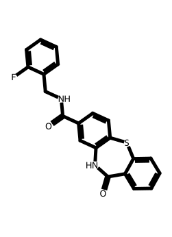 O=C(NCc1ccccc1F)c1ccc2c(c1)NC(=O)c1ccccc1S2